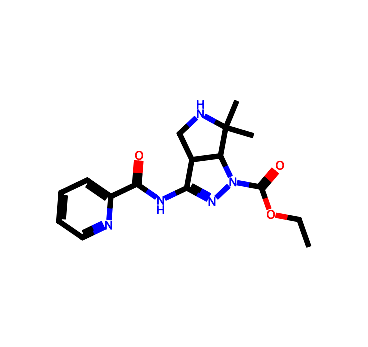 CCOC(=O)N1N=C(NC(=O)c2ccccn2)C2CNC(C)(C)C21